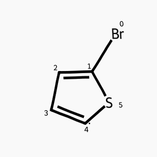 Brc1cc[c]s1